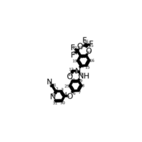 N#Cc1cc(Oc2ccc(NN(C=O)c3ccc4c(c3)C(F)(F)OC(F)(F)O4)cc2)ccn1